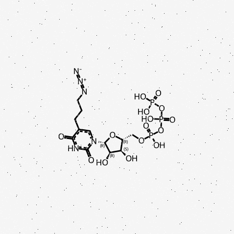 [N-]=[N+]=NCCCc1cn([C@@H]2O[C@H](COP(=O)(O)OP(=O)(O)OP(=O)(O)O)[C@@H](O)[C@H]2O)c(=O)[nH]c1=O